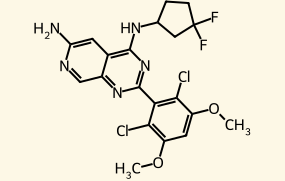 COc1cc(OC)c(Cl)c(-c2nc(NC3CCC(F)(F)C3)c3cc(N)ncc3n2)c1Cl